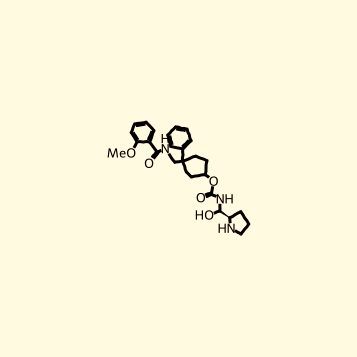 COc1ccccc1C(=O)NCC1(c2ccccc2)CCC(OC(=O)NC(O)[C@H]2CCCN2)CC1